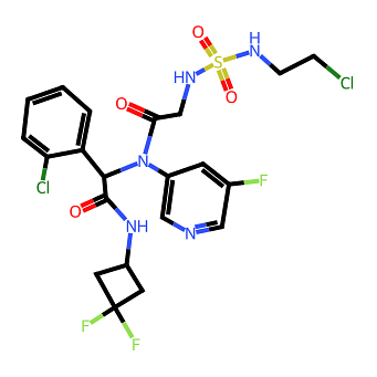 O=C(NC1CC(F)(F)C1)C(c1ccccc1Cl)N(C(=O)CNS(=O)(=O)NCCCl)c1cncc(F)c1